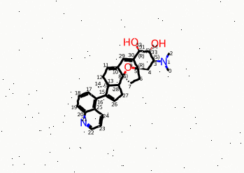 CN(C)[C@H]1C[C@@]23CC[C@@]4(O2)C(=CC[C@]2(C)C(c5cccc6ncccc56)=CCC24)C=C3[C@@H](O)[C@@H]1O